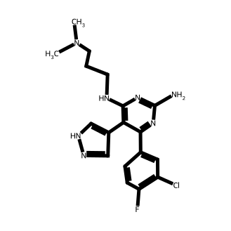 CN(C)CCCNc1nc(N)nc(-c2ccc(F)c(Cl)c2)c1-c1cn[nH]c1